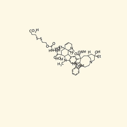 CC[C@]1(O)C[C@H]2CN(CCc3c([nH]c4ccccc34)[C@@](C(=O)OC)(c3cc4c(cc3OC)N(C)[C@H]3[C@@](O)(C(=O)NNC(=O)OCCSSCCC(=O)O)[C@H](O)[C@]5(CC)C=CCN6CC[C@]43[C@@H]65)C2)C1